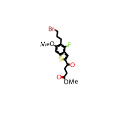 COC(=O)CCC(=O)c1cc2c(F)c(CCCBr)c(OC)cc2s1